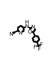 N#Cc1ccc(Nc2ncc(-c3ccc(C(F)(F)F)cc3)o2)cn1